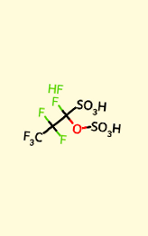 F.O=S(=O)(O)OC(F)(C(F)(F)C(F)(F)F)S(=O)(=O)O